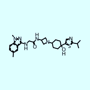 Cc1ccc2c(c1)c(NCC(=O)NC1CN(C3CCC(O)(c4cnc(C(C)C)s4)CC3)C1)nn2C